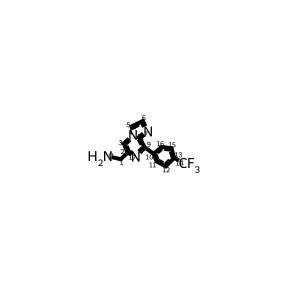 NCc1cn2ccnc2c(-c2ccc(C(F)(F)F)cc2)n1